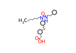 CCCCCCCN(C(=O)NCCc1ccccc1)c1ccc(Sc2cccc(CC(=O)O)c2)cc1